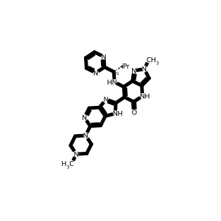 CC(C)[C@H](Nc1c(-c2nc3cnc(N4CCN(C)CC4)cc3[nH]2)c(=O)[nH]c2cn(C)nc12)c1ncccn1